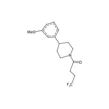 COc1cccc(C2CCN(C(=O)CCC(F)(F)F)CC2)c1